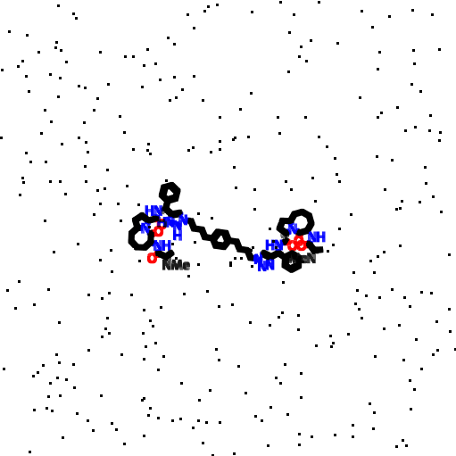 CN[C@@H](C)C(=O)NC1CCCCC2CCC(C(=O)N[C@H](C3=CN(CCCCc4ccc(CCCCn5cc(C(NC(=O)[C@@H]6CCC7CCCCC(NC(=O)[C@H](C)NC)C(=O)N76)c6ccccc6)nn5)cc4)NN3)c3ccccc3)N2C1=O